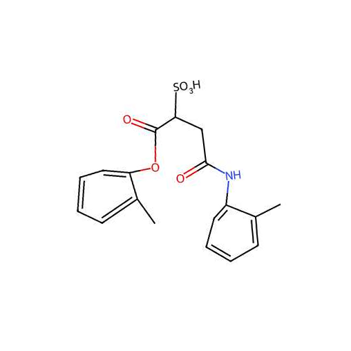 Cc1ccccc1NC(=O)CC(C(=O)Oc1ccccc1C)S(=O)(=O)O